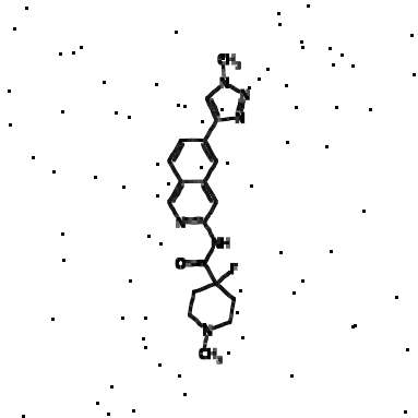 CN1CCC(F)(C(=O)Nc2cc3cc(-c4cn(C)nn4)ccc3cn2)CC1